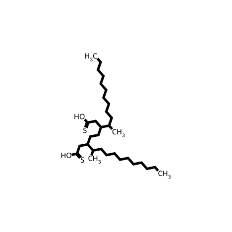 CCCCCCCCCCC(C)C(CCC(CC(O)=S)C(C)CCCCCCCCCC)CC(O)=S